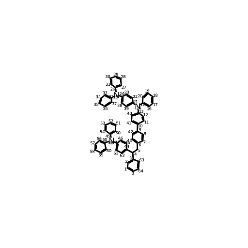 c1ccc(C(Cc2ccc(-c3ccc(N(c4ccccc4)c4ccc(N(c5ccccc5)c5ccccc5)cc4)cc3)cc2)c2ccc(N(c3ccccc3)c3ccccc3)cc2)cc1